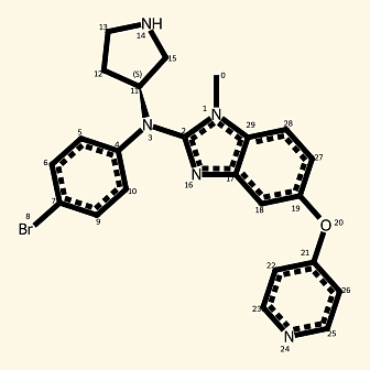 Cn1c(N(c2ccc(Br)cc2)[C@H]2CCNC2)nc2cc(Oc3c[c]ncc3)ccc21